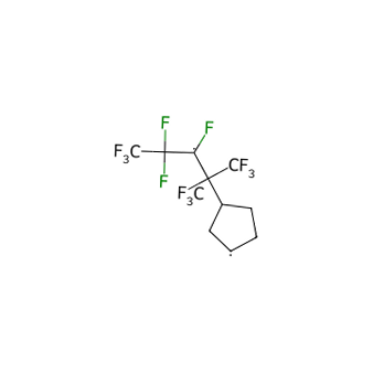 F[C](C(F)(F)C(F)(F)F)C(C1C[CH]CC1)(C(F)(F)F)C(F)(F)F